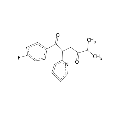 CC(C)C(=O)CC(C(=O)c1ccc(F)cc1)c1ccccn1